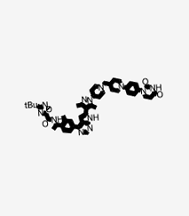 Cc1cc(-c2ncnc3[nH]c(-c4c(C)nn(C5CCN(CC6CCN(c7ccc(N8CCC(=O)NC8=O)cc7)CC6)CC5)c4C)cc23)ccc1C(C)NC(=O)c1nc(C(C)(C)C)no1